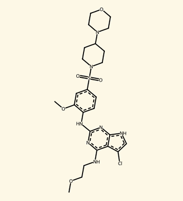 COCCNc1nc(Nc2ccc(S(=O)(=O)N3CCC(N4CCOCC4)CC3)cc2OC)nc2[nH]cc(Cl)c12